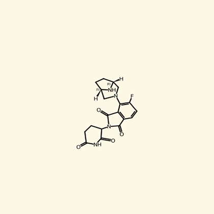 O=C1CCC(N2C(=O)c3ccc(F)c(N4C[C@H]5CC[C@@H](C4)N5)c3C2=O)C(=O)N1